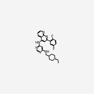 CCN1CCC(CNc2cc(Nc3cc(-c4cc(F)ccc4F)nc4ncccc34)ncn2)CC1